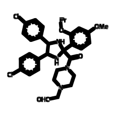 COc1ccc(C2(C(=O)N3CCN(CC=O)CC3)NC(c3ccc(Cl)cc3)C(c3ccc(Cl)cc3)N2)c(OC(C)C)c1